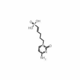 Nc1ccn(CCCC=CP(=O)(O)O)c(=O)n1